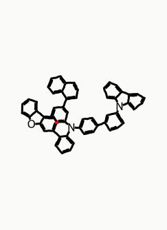 c1cc(-c2cccc3ccccc23)cc(N(c2ccc(-c3cccc(-n4c5ccccc5c5ccccc54)c3)cc2)c2ccccc2-c2ccc3c(c2)oc2ccccc23)c1